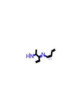 C=C/C=C\N=C(/C=C)C(C)NC